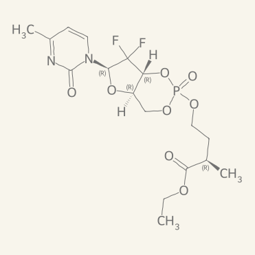 CCOC(=O)[C@H](C)CCOP1(=O)OC[C@H]2O[C@@H](n3ccc(C)nc3=O)C(F)(F)[C@@H]2O1